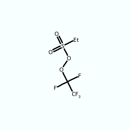 CCS(=O)(=O)OOC(F)(F)C(F)(F)F